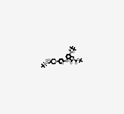 CC(C)(C)OC(=O)N1Cc2c(B3OC(C)(C)C(C)(C)O3)ccc(Nc3ccc(N4CCC(O)(CO[Si](C)(C)C(C)(C)C)CC4)cn3)c2C1=O